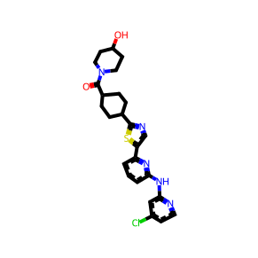 O=C(C1CCC(c2ncc(-c3cccc(Nc4cc(Cl)ccn4)n3)s2)CC1)N1CCC(O)CC1